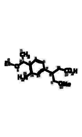 CCO[C@H](C)c1ccc([C@H](COC)CC(=O)O)cc1N